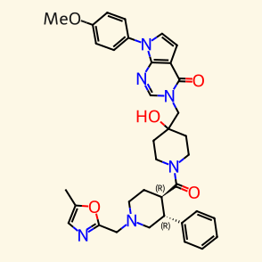 COc1ccc(-n2ccc3c(=O)n(CC4(O)CCN(C(=O)[C@@H]5CCN(Cc6ncc(C)o6)C[C@H]5c5ccccc5)CC4)cnc32)cc1